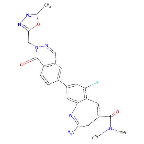 CCCN(CCC)C(=O)C1=Cc2c(F)cc(-c3ccc4c(=O)n(Cc5nnc(C)o5)ncc4c3)cc2N=C(N)C1